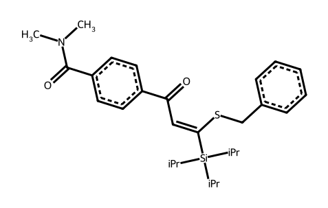 CC(C)[Si](/C(=C/C(=O)c1ccc(C(=O)N(C)C)cc1)SCc1ccccc1)(C(C)C)C(C)C